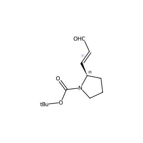 CC(C)(C)OC(=O)N1CCC[C@@H]1/C=C/C=O